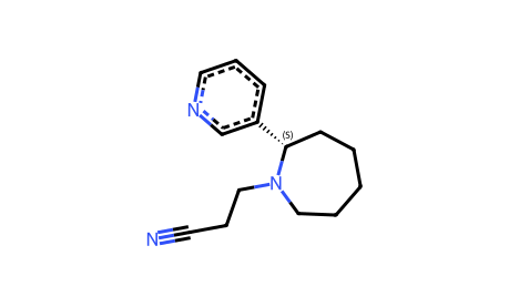 N#CCCN1CCCCC[C@H]1c1cccnc1